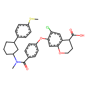 CSc1ccc(C2CCCC(N(C)C(=O)c3ccc(Oc4cc5c(cc4Cl)C(C(=O)O)CCO5)cc3)C2)cc1